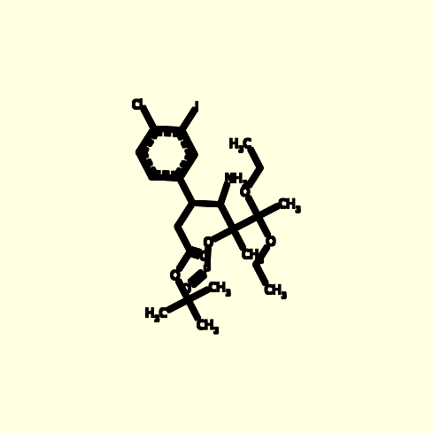 CCOC(C)(OCC)C(C)(OP=O)C(N)C(CC(=O)OC(C)(C)C)c1ccc(Cl)c(I)c1